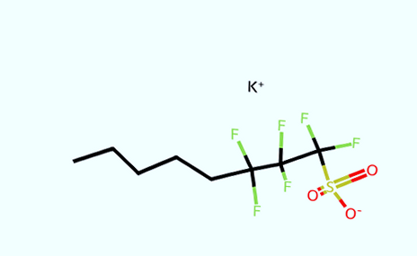 CCCCCC(F)(F)C(F)(F)C(F)(F)S(=O)(=O)[O-].[K+]